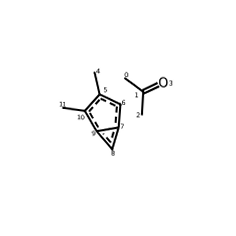 CC(C)=O.Cc1cc2cc-2c1C